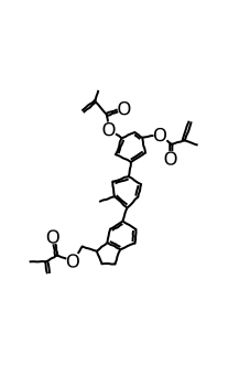 C=C(C)C(=O)OCC1CCc2ccc(-c3ccc(-c4cc(OC(=O)C(=C)C)cc(OC(=O)C(=C)C)c4)cc3C)cc21